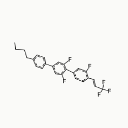 CCCCc1ccc(-c2cc(F)c(-c3ccc(/C=C/C(F)(F)F)c(F)c3)c(F)c2)cc1